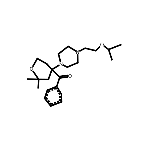 CC(C)OCCN1CCN(C2(C(=O)c3ccccc3)CCOC(C)(C)C2)CC1